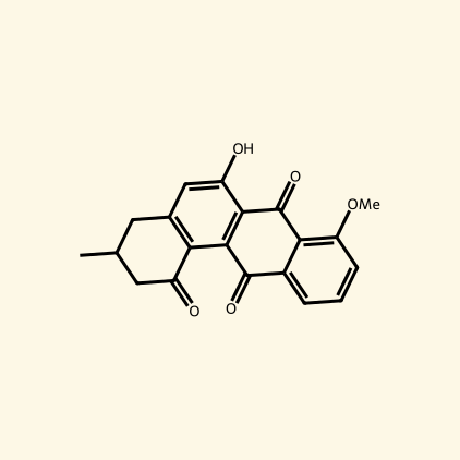 COc1cccc2c1C(=O)c1c(O)cc3c(c1C2=O)C(=O)CC(C)C3